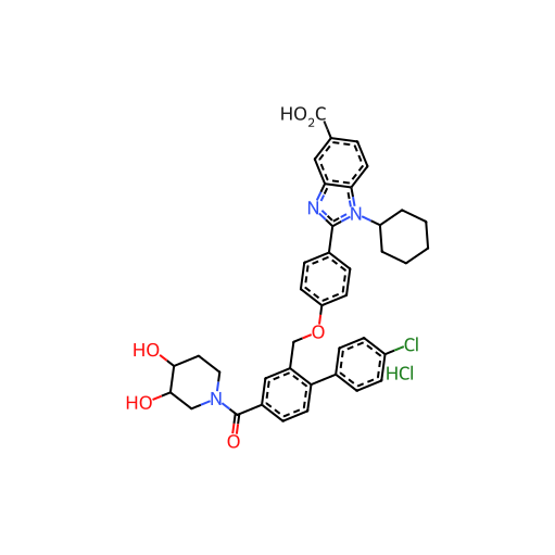 Cl.O=C(O)c1ccc2c(c1)nc(-c1ccc(OCc3cc(C(=O)N4CCC(O)C(O)C4)ccc3-c3ccc(Cl)cc3)cc1)n2C1CCCCC1